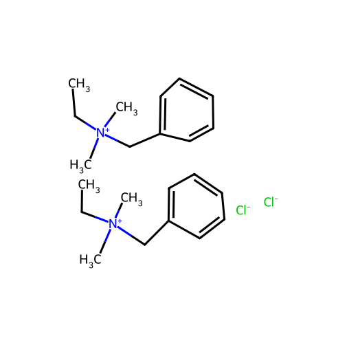 CC[N+](C)(C)Cc1ccccc1.CC[N+](C)(C)Cc1ccccc1.[Cl-].[Cl-]